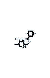 CC1=CO[C@@H]2COC(c3ccccc3)O[C@H]2[C@H]1O